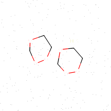 C1COOCO1.C1COOCO1.S